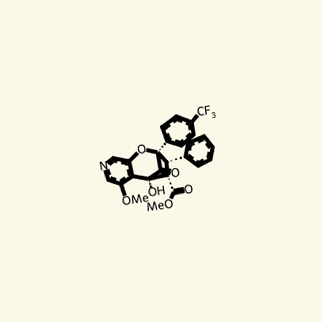 COC(=O)[C@H]1[C@@H](c2ccccc2)[C@]2(c3ccc(C(F)(F)F)cc3)Oc3cncc(OC)c3[C@@]1(O)C2=O